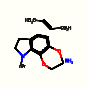 CCCN1CCc2ccc3c(c21)OCCO3.N.O=C(O)C=CC(=O)O